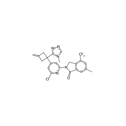 [CH2]c1cc2c(c(C(F)(F)F)c1)CN(c1cc(C3(c4nncn4C)CC(=C)C3)cc(Cl)n1)C2=O